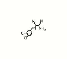 N#C/C(N)=C(\C#N)N=Cc1ccc(Cl)c(Cl)c1